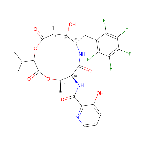 CC(C)C1OC(=O)[C@H](C)[C@H](O)[C@H](Cc2c(F)c(F)c(F)c(F)c2F)NC(=O)[C@@H](NC(=O)c2ncccc2O)[C@@H](C)OC1=O